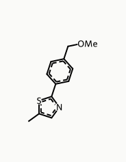 COCc1ccc(-c2ncc(C)s2)cc1